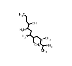 CCCC(O)C(N)CC(N)C(CC)C[C@@H](C)CC(C)N